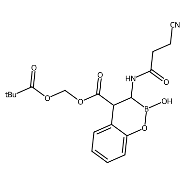 CC(C)(C)C(=O)OCOC(=O)C1c2ccccc2OB(O)C1NC(=O)CCC#N